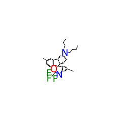 CCCCN(CCCC)c1ccc2c(c1)-c1cc(C)ccc1C21OC(C(F)(F)F)=Nc2cc(C)ccc21